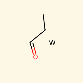 CCC=O.[W]